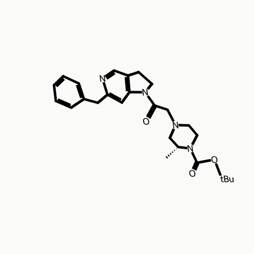 C[C@@H]1CN(CC(=O)N2CCc3cnc(Cc4ccccc4)cc32)CCN1C(=O)OC(C)(C)C